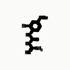 CCc1cc(OC)ccc1NC(=O)NC(=N)N